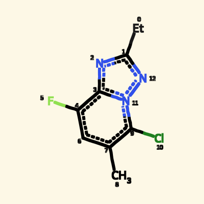 CCc1nc2c(F)cc(C)c(Cl)n2n1